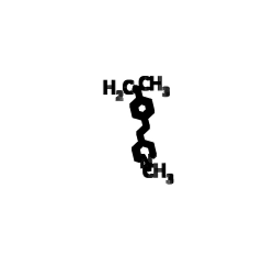 C=C(C)c1ccc(CCC2C=CN(C)CC2)cc1